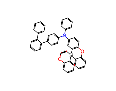 c1ccc(-c2ccccc2-c2ccc(N(c3ccccc3)c3ccc4c(c3)[Si]3(c5ccccc5Oc5ccccc53)c3ccccc3O4)cc2)cc1